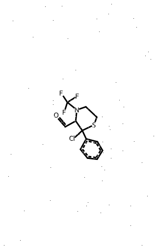 O=CC1N(C(F)(F)F)CCSC1(Cl)c1ccccc1